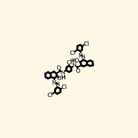 O=C(Nc1ccc(NC(=O)c2cc3ccccc3c(N=Nc3cc(Cl)ccc3Cl)c2O)c(Cl)c1)c1cc2ccccc2c(N=Nc2cc(Cl)ccc2Cl)c1O